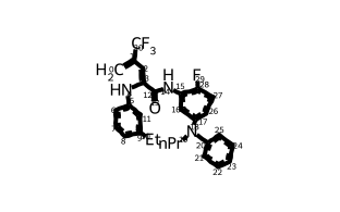 C=C(/C=C(\Nc1cccc(CC)c1)C(=O)Nc1cc(N(CCC)c2ccccc2)ccc1F)C(F)(F)F